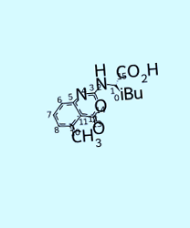 CC[C@H](C)[C@H](Nc1nc2cccc(C)c2c(=O)o1)C(=O)O